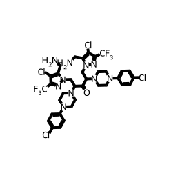 NCc1c(Cl)c(C(F)(F)F)nn1CC(C(=O)C(Cn1nc(C(F)(F)F)c(Cl)c1CN)N1CCN(c2ccc(Cl)cc2)CC1)N1CCN(c2ccc(Cl)cc2)CC1